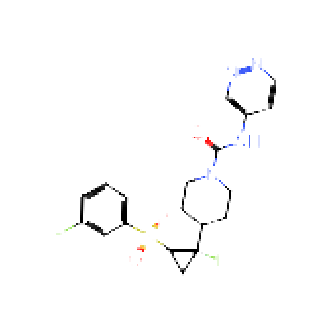 O=C(Nc1ccnnc1)N1CCC([C@]2(F)CC2S(=O)(=O)c2cccc(F)c2)CC1